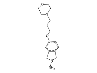 NN1Cc2ccc(OCCCN3CCOCC3)cc2C1